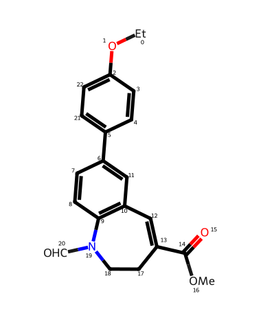 CCOc1ccc(-c2ccc3c(c2)C=C(C(=O)OC)CCN3C=O)cc1